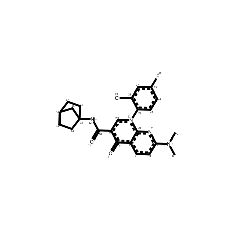 CN(C)c1ccc2c(=O)c(C(=O)NC34CCC(CC3)C4)cn(-c3ccc(F)cc3Cl)c2n1